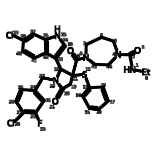 CCNC(=O)N1CCCN(C(=O)C2(Sc3ccccc3)CC(=O)N(Cc3ccc(Cl)c(F)c3)C2c2c[nH]c3cc(Cl)ccc23)CC1